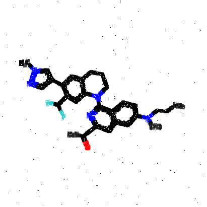 CNC(=O)c1cc2cc(N(C=O)CCOC)ccc2c(N2CCCc3cc(-c4cnn(C)c4)c(C(F)F)cc32)n1